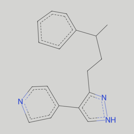 CC(CCc1n[nH]cc1-c1ccncc1)c1ccccc1